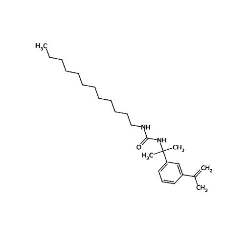 C=C(C)c1cccc(C(C)(C)NC(=O)NCCCCCCCCCCCC)c1